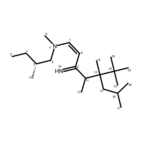 CC[C@@H](C)CN(C)/C=C\C(=N)C(C)C(C)(CC(C)C)C(C)(C)C